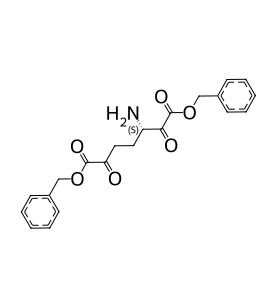 N[C@@H](CCC(=O)C(=O)OCc1ccccc1)C(=O)C(=O)OCc1ccccc1